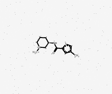 Cc1csc(C(=O)N[C@@H]2CCCN(C)C2)c1